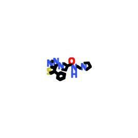 O=C(NCCN1CCCC1)C1CCN(c2ncnc3scc(-c4ccccc4)c23)C1